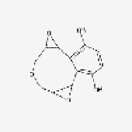 Oc1ccc(O)c2c1C1OC1COCC1OC21